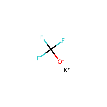 [K+].[O-]C(F)(F)F